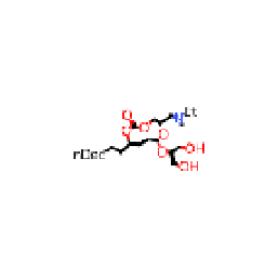 CCCCCCCCCCCCC(CCC(=O)OC(CO)CO)OC(=O)OCCCN(C)CC